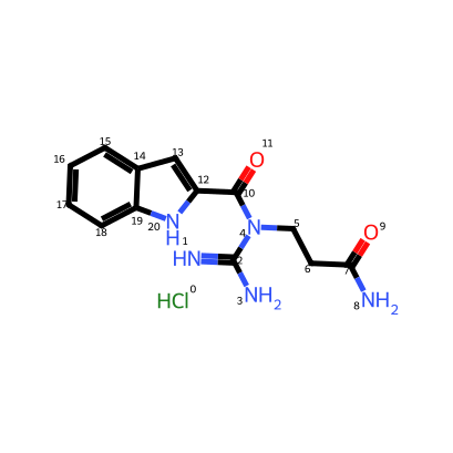 Cl.N=C(N)N(CCC(N)=O)C(=O)c1cc2ccccc2[nH]1